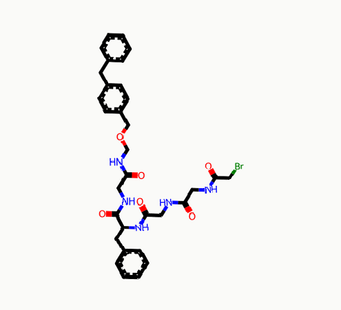 O=C(CBr)NCC(=O)NCC(=O)NC(Cc1ccccc1)C(=O)NCC(=O)NCOCc1ccc(Cc2ccccc2)cc1